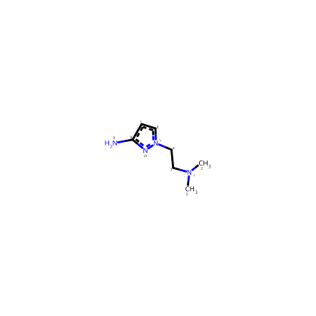 CN(C)CCn1ccc(N)n1